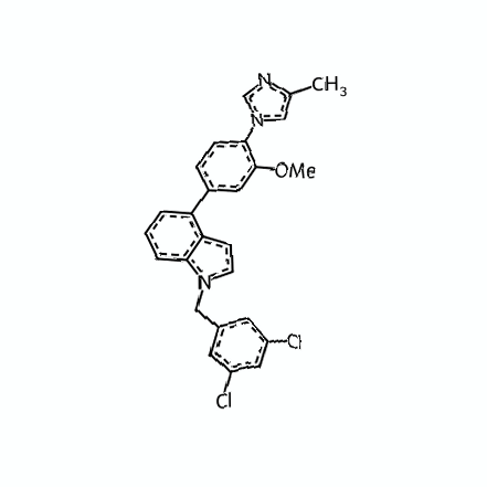 COc1cc(-c2cccc3c2ccn3Cc2cc(Cl)cc(Cl)c2)ccc1-n1cnc(C)c1